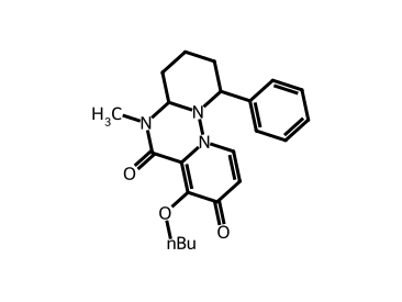 CCCCOc1c2n(ccc1=O)N1C(c3ccccc3)CCCC1N(C)C2=O